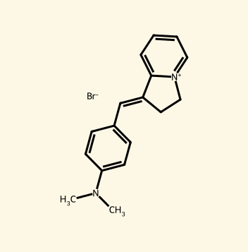 CN(C)c1ccc(C=C2CC[n+]3ccccc32)cc1.[Br-]